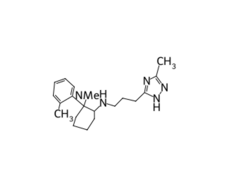 CNC1(c2ccccc2C)CCCCC1NCCCc1nc(C)n[nH]1